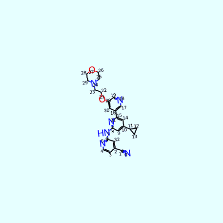 N#Cc1ccnc(Nc2cc(C3CC3)cc(-c3cncc(OCCN4CCOCC4)c3)n2)c1